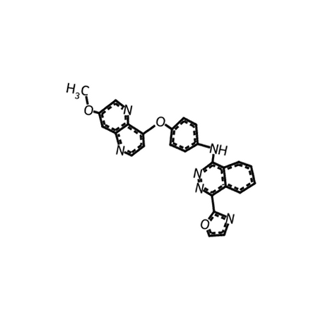 COc1cnc2c(Oc3ccc(Nc4nnc(-c5ncco5)c5ccccc45)cc3)ccnc2c1